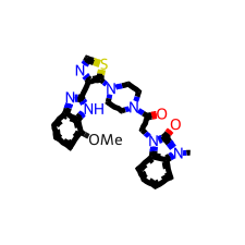 COc1cccc2nc(-c3ncsc3N3CCN(C(=O)Cn4c(=O)n(C)c5ccccc54)CC3)[nH]c12